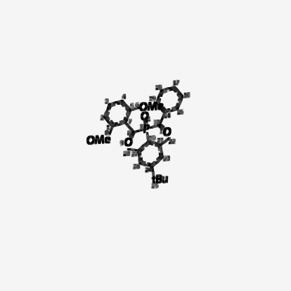 COc1cccc(OC)c1C(=O)P(=O)(C(=O)c1ccccc1)c1c(C)cc(C(C)(C)C)cc1C